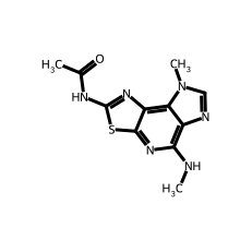 CNc1nc2sc(NC(C)=O)nc2c2c1ncn2C